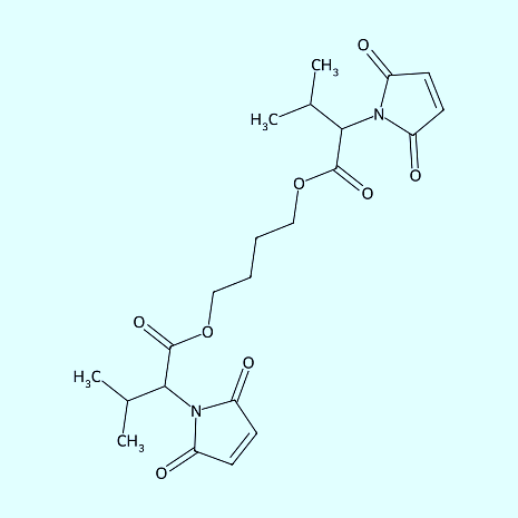 CC(C)C(C(=O)OCCCCOC(=O)C(C(C)C)N1C(=O)C=CC1=O)N1C(=O)C=CC1=O